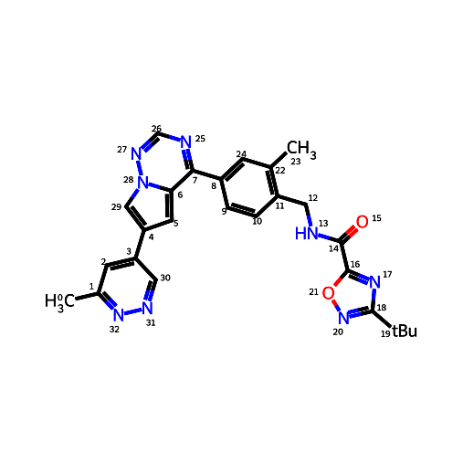 Cc1cc(-c2cc3c(-c4ccc(CNC(=O)c5nc(C(C)(C)C)no5)c(C)c4)ncnn3c2)cnn1